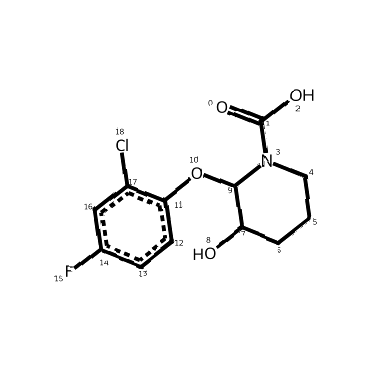 O=C(O)N1CCCC(O)C1Oc1ccc(F)cc1Cl